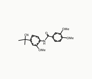 COc1cc(C(C)(C)C#N)ccc1NC(=O)c1ccc(OC)c(OC)c1